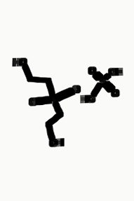 O=S(=O)(CCO)CCO.O=S(=O)(O)O